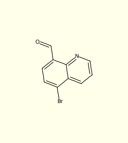 O=Cc1ccc(Br)c2cccnc12